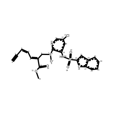 C#C/C=C\C=C(/C[S+]([O-])c1ncc(Cl)cc1NS(=O)(=O)c1cc2ccccc2o1)C(=O)OC